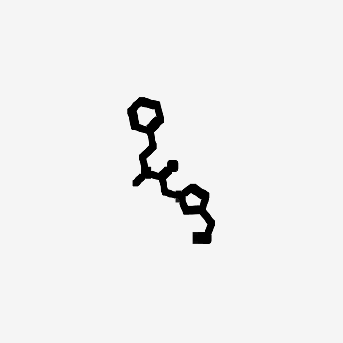 CN(CCc1ccccc1)C(=O)Cn1ccc(CO)c1